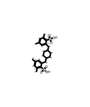 Cc1cc(C)c(S(=O)(=O)O)c(CC2CCC(Cc3cc(C)cc(C)c3S(=O)(=O)O)CC2)c1